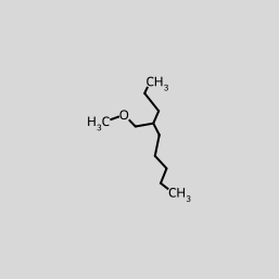 CCCCCC(CCC)COC